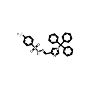 Cc1ccc(S(=O)(=O)NN=Cc2cn(C(c3ccccc3)(c3ccccc3)c3ccccc3)cn2)cc1